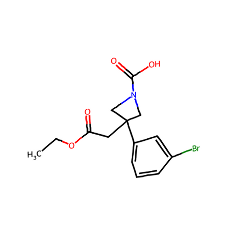 CCOC(=O)CC1(c2cccc(Br)c2)CN(C(=O)O)C1